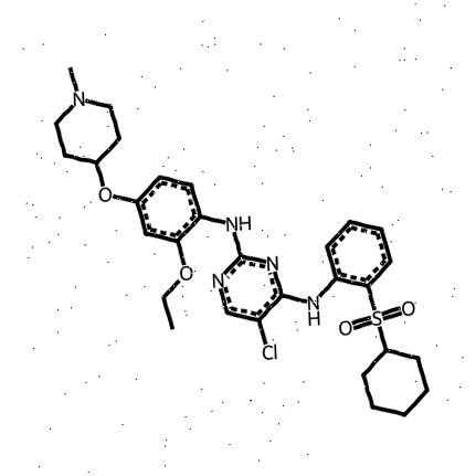 CCOc1cc(OC2CCN(C)CC2)ccc1Nc1ncc(Cl)c(Nc2ccccc2S(=O)(=O)C2CCCCC2)n1